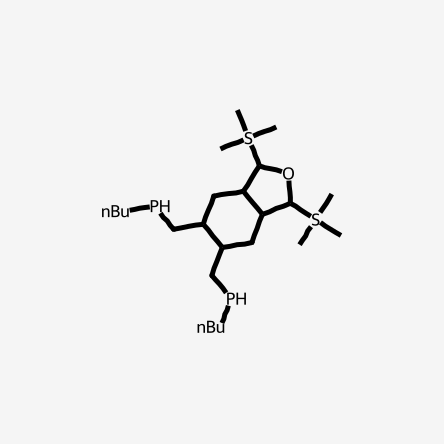 CCCCPCC1CC2C(CC1CPCCCC)C(S(C)(C)C)OC2S(C)(C)C